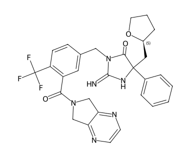 N=C1NC(C[C@@H]2CCCO2)(c2ccccc2)C(=O)N1Cc1ccc(C(F)(F)F)c(C(=O)N2Cc3nccnc3C2)c1